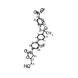 CC1(c2ccc(-c3ccc(N4CC(CO)OC4=O)cc3F)cc2)Cn2cc([N+](=O)[O-])nc2O1